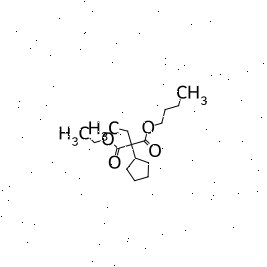 CCCCOC(=O)C(CC)(C(=O)OCC)C1CCCC1